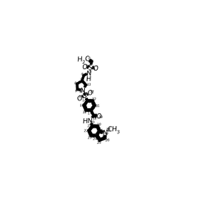 C=CS(=O)(=O)NCC1CCN(S(=O)(=O)c2ccc(C(=O)Nc3ccc4ccn(C)c4c3)cc2)C1